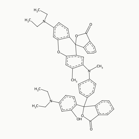 CCN(CC)c1ccc(C2(c3ccc(N(C)c4cc5c(cc4C)Oc4cc(N(CC)CC)ccc4C54OC(=O)c5ccccc54)cc3)OC(=O)c3ccccc32)c(O)c1